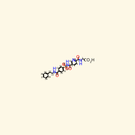 O=C(O)CNC(=O)c1ccc(C(=O)NS(=O)(=O)c2ccc(C(=O)NCCc3ccccc3)cc2)cn1